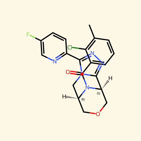 Cc1cccc(C(=O)N2[C@H]3COC[C@@H]2c2nnc(-c4ccc(F)cn4)n2C3)c1Cl